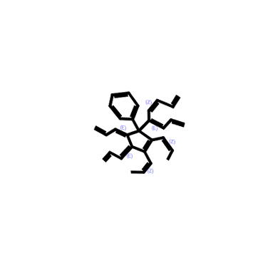 C=C/C=C\C(=C/C=C)C1(c2ccccc2)C(/C=C\C)=C(/C=C\C)C(=C/C=C)/C1=C\C=C